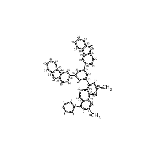 Cc1cc(-c2ccccc2)c2ccc3c(-c4cc(-c5ccc6sc7ccccc7c6c5)cc(-c5ccc6sc7ccccc7c6c5)c4)cc(C)nc3c2n1